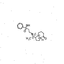 C[C@H](CCCS(=N)(=O)c1ccccc1)C1CC[C@H]2C(=O)CCC[C@]12C